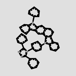 c1ccc(-c2nnc(-c3ccccc3)n2-c2ccc(-n3c4ccccc4c4ccc5cc6c(cc5c43)c3ccccc3n6-c3ccccc3)cc2)cc1